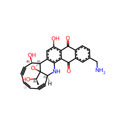 C[C@@H](O)C12O[C@]13c1cc(O)c4c(c1N[C@H]2C#C/C=C\C#C[C@H]3O)C(=O)c1cc(CN)ccc1C4=O